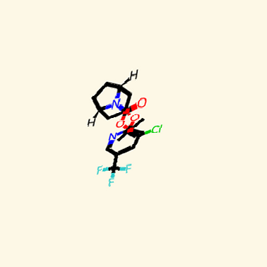 CC(C)(C)OC(=O)N1[C@@H]2CC[C@H]1C[C@@H](Oc1ncc(C(F)(F)F)cc1Cl)C2